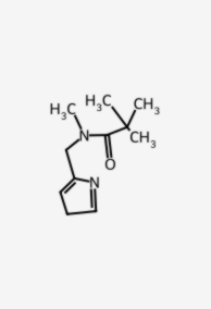 CN(CC1=CCC=N1)C(=O)C(C)(C)C